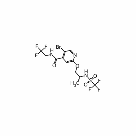 C[C@@H](COc1cc(C(=O)NCC(F)(F)F)c(Br)cn1)NS(=O)(=O)C(F)(F)F